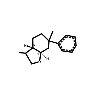 CC1CO[C@@H]2CC(C)(c3ccccc3)CC[C@@H]12